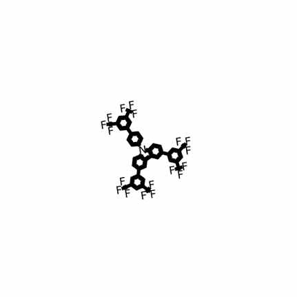 FC(F)(F)c1cc(-c2ccc(-n3c4ccc(-c5cc(C(F)(F)F)cc(C(F)(F)F)c5)cc4c4cc(-c5cc(C(F)(F)F)cc(C(F)(F)F)c5)ccc43)cc2)cc(C(F)(F)F)c1